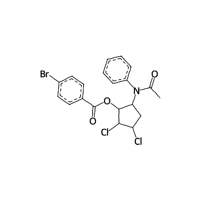 CC(=O)N(c1ccccc1)C1CC(Cl)C(Cl)C1OC(=O)c1ccc(Br)cc1